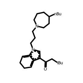 CCCCC1CCCN(CCCn2cc(C(=O)CC(C)CC)c3c2=CCCC=3)CC1